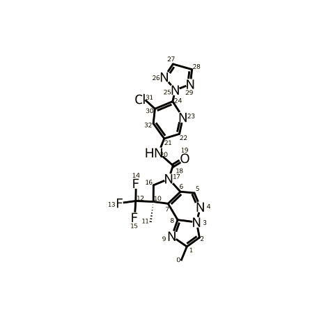 Cc1cn2ncc3c(c2n1)[C@@](C)(C(F)(F)F)CN3C(=O)Nc1cnc(-n2nccn2)c(Cl)c1